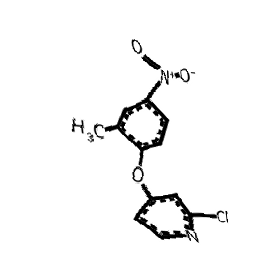 Cc1cc([N+](=O)[O-])ccc1Oc1ccnc(Cl)c1